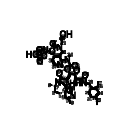 CC1=NO[C@@]2(CC[C@H](C)N3C[C@H]2n2cc(C(=O)NCc4ccc(F)cc4F)c(=O)c(OC(=O)N(C)c4ncccc4CN(CCO)C(=O)OCOP(=O)(O)O)c2C3=O)C1